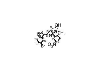 Cc1ccc([N+](=O)[O-])cc1S(=O)(=O)N(CCO)N=Cc1cnn2ccc(Br)cc12